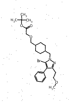 COCCc1nn(CC2CCC(COCC(=O)OC(C)(C)C)CC2)c(Br)c1-c1ccccc1